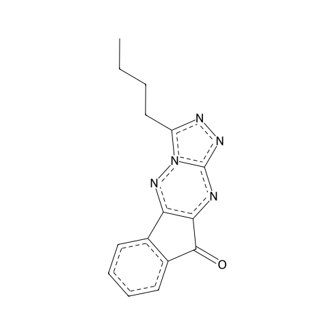 CCCCc1nnc2nc3c(nn12)-c1ccccc1C3=O